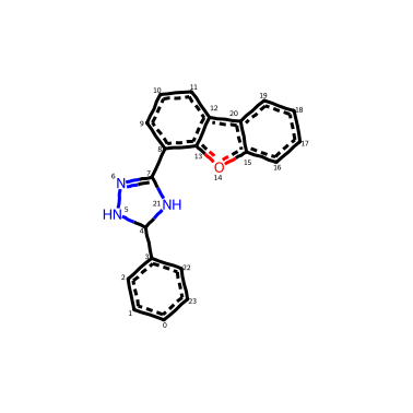 c1ccc(C2NN=C(c3cccc4c3oc3ccccc34)N2)cc1